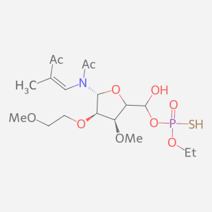 CCOP(=O)(S)OC(O)C1O[C@@H](N(/C=C(/C)C(C)=O)C(C)=O)[C@H](OCCOC)[C@@H]1OC